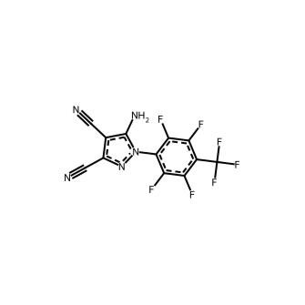 N#Cc1nn(-c2c(F)c(F)c(C(F)(F)F)c(F)c2F)c(N)c1C#N